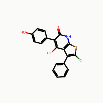 O=c1[nH]c2sc(Cl)c(-c3ccccc3)c2c(O)c1-c1ccc(O)cc1